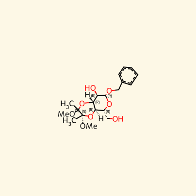 CO[C@@]1(C)O[C@@H]2[C@@H](O)[C@H](OCc3ccccc3)O[C@H](CO)[C@H]2O[C@]1(C)OC